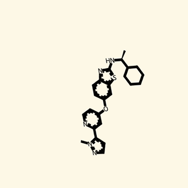 C[C@H](Nc1nc2ccc(Oc3ccnc(-c4ccnn4C)c3)cc2s1)C1CCCCC1